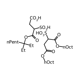 CCCCCC(CC)(CC)OC(=O)C(CC(=O)O)S(=O)(=O)O.CCCCCCCCOC(=O)CC(C(=O)OCCCCCCCC)S(=O)(=O)O